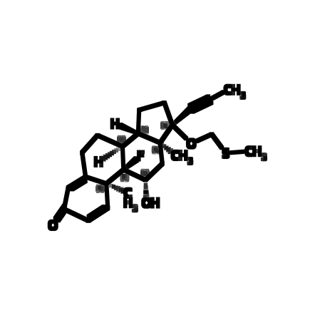 CC#C[C@]1(OCSC)CC[C@H]2[C@@H]3CCC4=CC(=O)C=C[C@]4(C)[C@@]3(F)[C@@H](O)C[C@@]21C